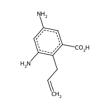 C=CCc1c(N)cc(N)cc1C(=O)O